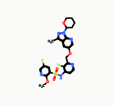 COc1ncc(F)cc1S(=O)(=O)Nc1ccnc(COc2cnc3c(c2)c(C)nn3C2CCCCO2)c1F